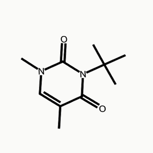 Cc1cn(C)c(=O)n(C(C)(C)C)c1=O